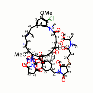 COc1cc2cc(c1Cl)N(C)C(=O)C[C@H](OC(=O)C(C)N(C)C(=O)CCSC1CC(=O)N(CC3CCC(C(=O)ON4C(=O)CCC4=O)CC3)C1=O)[C@@H]1O[C@H]1[C@H](C)[C@@H]1C[C@@](O)(NC(=O)O1)[C@H](OC)/C=C/C=C(\C)C2